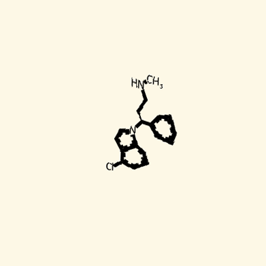 CNCC[C@@H](c1ccccc1)n1ccc2c(Cl)cccc21